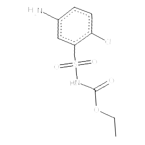 CCOC(=O)NS(=O)(=O)c1cc(N)ccc1Cl